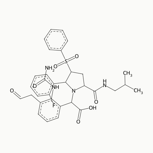 CC(C)CNC(=O)C1CC(S(=O)(=O)c2ccccc2)C(c2ccccc2F)N1C(C(=O)O)c1cccc(CC=O)c1NC(N)=O